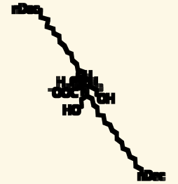 CCCCCCCCCCCCCCCCCCCCCCCCCCCC(CCO)N(C(CCO)CCCCCCCCCCCCCCCCCCCCCCCCCCC)C(C(=O)[O-])[N+](C)(C)C